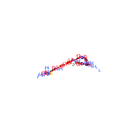 C=CC(=O)N1CCC(c2ccc(C(N)=O)c(Nc3ccc(C(=O)N4CCN(C(=O)CCCCNC(=O)CCOCCOCCOCCOCCNC(=O)CCCCC5SCC6NC(=O)NC65)CC4)cc3)n2)CC1